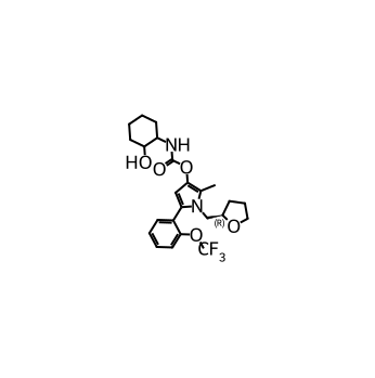 Cc1c(OC(=O)NC2CCCCC2O)cc(-c2ccccc2OC(F)(F)F)n1C[C@H]1CCCO1